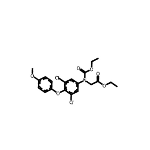 CCOC(=O)CN(C(=O)OCC)c1cc(Cl)c(Oc2ccc(OC)cc2)c(Cl)c1